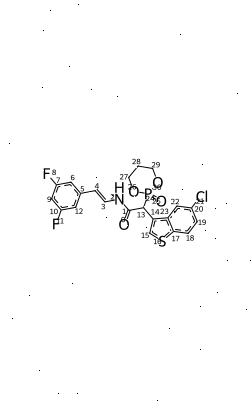 O=C(N/C=C/c1cc(F)cc(F)c1)C(c1csc2ccc(Cl)cc12)P1(=O)OCCCO1